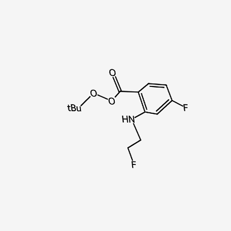 CC(C)(C)OOC(=O)c1ccc(F)cc1NCCF